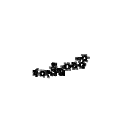 Cc1ncsc1-c1ccc([C@H](C)NC(=O)[C@@H]2C[C@@H](O)CN2C(=O)[C@@H](NC(=O)CN2CCN(c3ccc(-c4cnnc(-c5ccccc5O)c4)cn3)CC2)C(C)(C)C)cc1